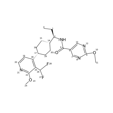 CC[C@@H](NC(=O)c1cnc(OC)nc1)[C@H]1CC[C@@H](c2ccnc(OC)c2C(F)F)CC1